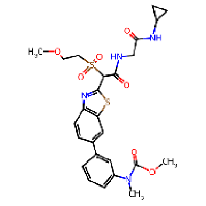 COCCS(=O)(=O)C(C(=O)NCC(=O)NC1CC1)c1nc2ccc(-c3cccc(N(C)C(=O)OC)c3)cc2s1